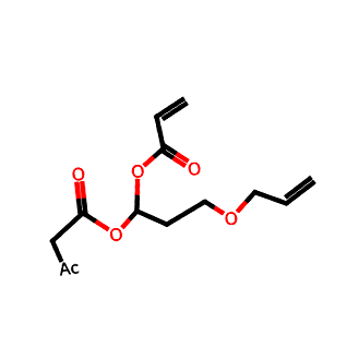 C=CCOCCC(OC(=O)C=C)OC(=O)CC(C)=O